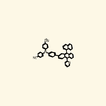 CC(C)(C)c1ccc(N(c2ccc(C#N)cc2)c2ccc(-c3ccc4c(-c5ccccn5)c5ccccc5c(-c5cccc6ccccc56)c4c3)cc2)cc1